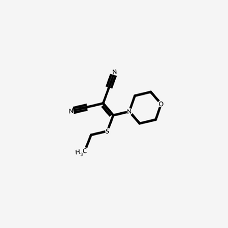 CCSC(=C(C#N)C#N)N1CCOCC1